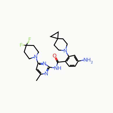 Cc1cc(N2CCC(F)(F)CC2)nc(NC(=O)c2ccc(N)cc2N2CCC3(CC2)CC3)n1